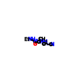 CCNCCCNC(=O)C1C=C(C)C(Nc2cccc(/C=C/c3ccncc3)c2)=CC1